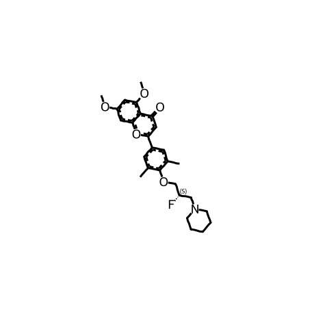 COc1cc(OC)c2c(=O)cc(-c3cc(C)c(OC[C@@H](F)CN4CCCCC4)c(C)c3)oc2c1